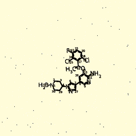 BN1CCC(n2cc(-c3cnc(N)c(O[C@@H](C)c4c(Cl)ccc(F)c4Cl)c3)cn2)CC1